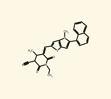 CCN1C(=O)/C(=C\c2cc3c(cc(-c4cccc5ccccc45)n3C)s2)C(C)C(C#N)C1=O